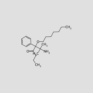 CCCCCCCOC(C(=O)CCC)(c1ccccc1)C(C)(C)N